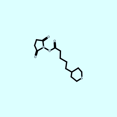 O=C(CCCCC1CCSCC1)ON1C(=O)CCC1=O